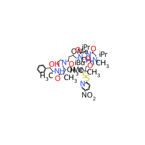 CC[C@H](C)[C@@H]([C@@H](CC(=O)N1CCC[C@H]1[C@H](OC)[C@@H](C)C(=O)N[C@H](C)[C@@H](O)c1ccccc1)OC)N(C)C(=O)[C@@H](NC(=O)[C@H](C(C)C)N(C)C(=O)OCC(C)(C)SSc1ccc([N+](=O)[O-])cn1)C(C)C